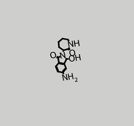 Nc1ccc2c(c1)C(O)N([C@H]1CCCCNC1=O)C2=O